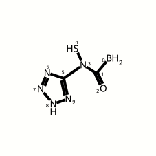 BC(=O)N(S)c1nn[nH]n1